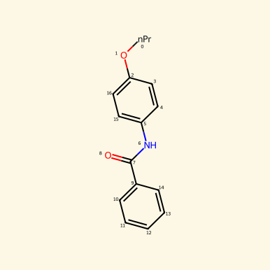 CCCOc1ccc(NC(=O)c2ccccc2)cc1